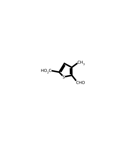 Cc1cc(C(=O)O)sc1C=O